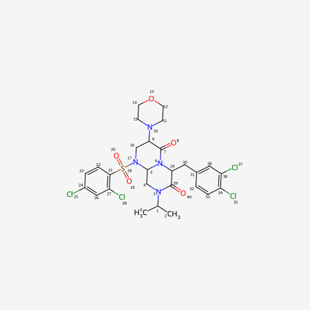 CC(C)N1CC2N(C(=O)C(N3CCOCC3)CN2S(=O)(=O)c2ccc(Cl)cc2Cl)C(Cc2ccc(Cl)c(Cl)c2)C1=O